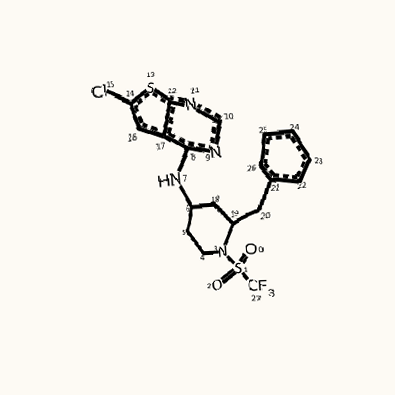 O=S(=O)(N1CCC(Nc2ncnc3sc(Cl)cc23)CC1Cc1ccccc1)C(F)(F)F